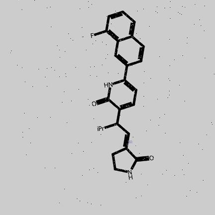 CC(C)C(/C=C1\CCNC1=O)c1ccc(-c2ccc3cccc(F)c3c2)[nH]c1=O